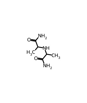 CC(NC(C)C(N)=O)C(N)=O